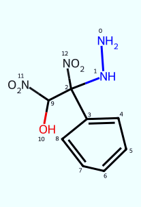 NNC(c1ccccc1)(C(O)[N+](=O)[O-])[N+](=O)[O-]